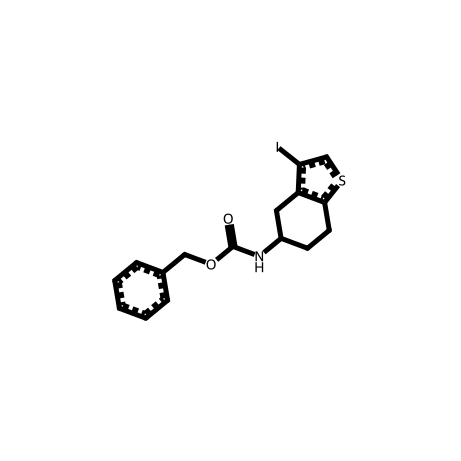 O=C(NC1CCc2scc(I)c2C1)OCc1ccccc1